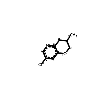 CC1COc2cc(Cl)cnc2C1